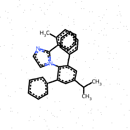 Cc1ccccc1-c1nccn1-c1c(-c2ccccc2)cc(C(C)C)cc1-c1ccccc1